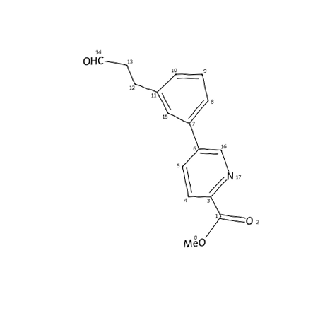 COC(=O)c1ccc(-c2cccc(CCC=O)c2)cn1